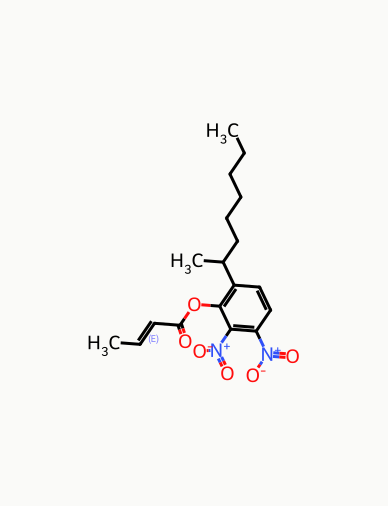 C/C=C/C(=O)Oc1c(C(C)CCCCCC)ccc([N+](=O)[O-])c1[N+](=O)[O-]